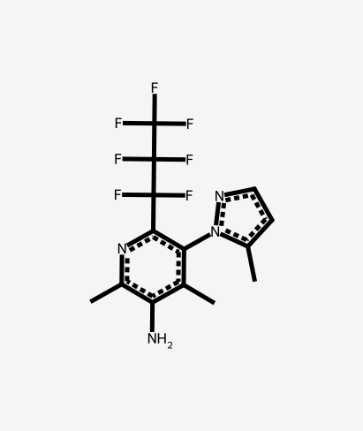 Cc1nc(C(F)(F)C(F)(F)C(F)(F)F)c(-n2nccc2C)c(C)c1N